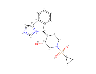 O=S(=O)(C1CC1)N1CC[C@H](C2c3ccccc3-c3cncn32)[C@@H](O)C1